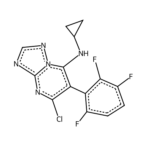 Fc1ccc(F)c(-c2c(Cl)nc3ncnn3c2NC2CC2)c1F